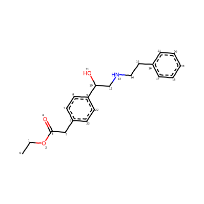 CCOC(=O)Cc1ccc(C(O)CNCCc2ccccc2)cc1